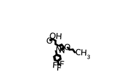 CCCCOc1cc(CCC(=O)O)n(Cc2ccc(C(F)(F)F)cc2)n1